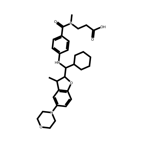 CC1c2cc(N3CCOCC3)ccc2OC1C(Nc1ccc(C(=O)N(C)CCC(=O)O)cc1)C1CCCCC1